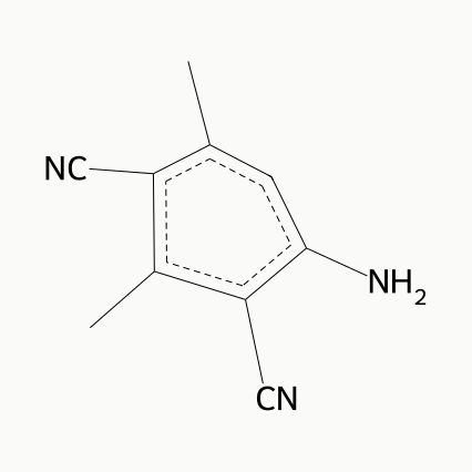 Cc1cc(N)c(C#N)c(C)c1C#N